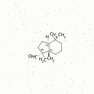 CC1(C)CCC[C@@]2(C)[C@H]1CC[C@@]2(C)C=O